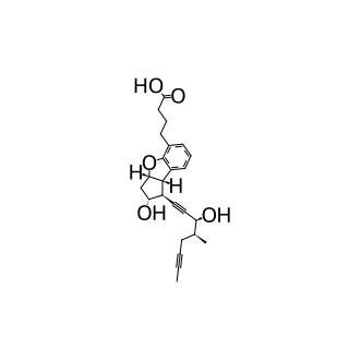 CC#CC[C@H](C)[C@H](O)C#C[C@@H]1[C@H]2c3cccc(CCCC(=O)O)c3O[C@H]2C[C@H]1O